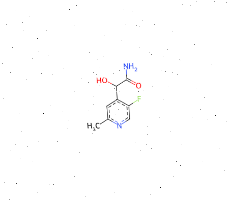 Cc1cc(C(O)C(N)=O)c(F)cn1